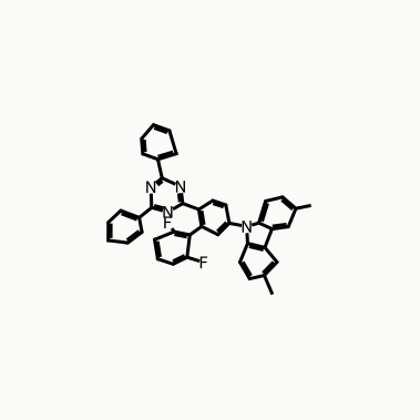 Cc1ccc2c(c1)c1cc(C)ccc1n2-c1ccc(-c2nc(-c3ccccc3)nc(-c3ccccc3)n2)c(-c2c(F)cccc2F)c1